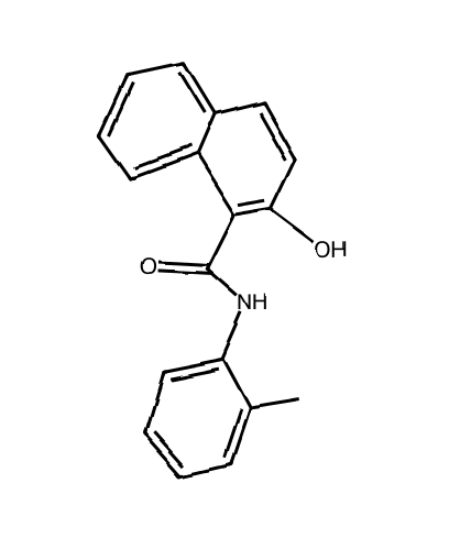 Cc1ccccc1NC(=O)c1c(O)ccc2ccccc12